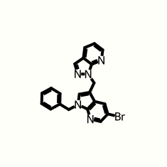 Brc1cnc2c(c1)c(Cn1ncc3cccnc31)cn2Cc1ccccc1